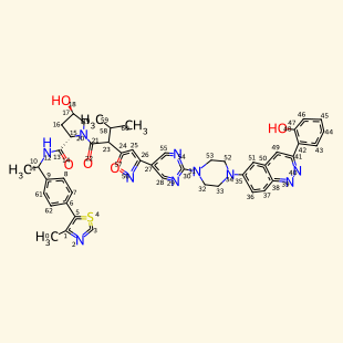 Cc1ncsc1-c1ccc(C(C)NC(=O)[C@@H]2C[C@@H](O)CN2C(=O)C(c2cc(-c3cnc(N4CCN(c5ccc6nnc(-c7ccccc7O)cc6c5)CC4)nc3)no2)C(C)C)cc1